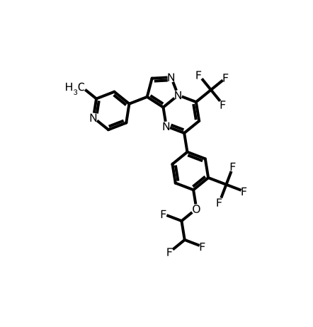 Cc1cc(-c2cnn3c(C(F)(F)F)cc(-c4ccc(OC(F)C(F)F)c(C(F)(F)F)c4)nc23)ccn1